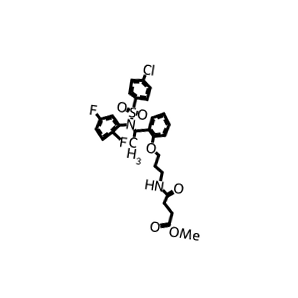 COC(=O)CCC(=O)NCCCOc1ccccc1C(C)N(c1cc(F)ccc1F)S(=O)(=O)c1ccc(Cl)cc1